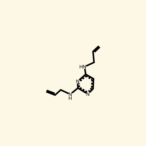 C=CCNc1ccnc(NCC=C)n1